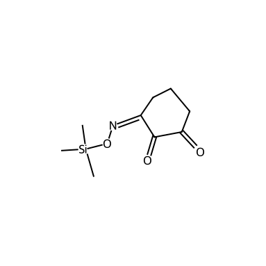 C[Si](C)(C)O/N=C1/CCCC(=O)C1=O